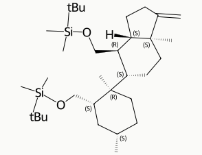 C=C1CC[C@H]2[C@H](CO[Si](C)(C)C(C)(C)C)[C@@H]([C@@]3(C)CC[C@H](C)C[C@@H]3CO[Si](C)(C)C(C)(C)C)CC[C@]12C